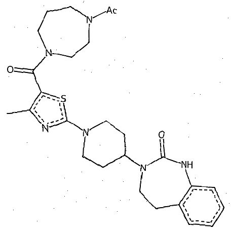 CC(=O)N1CCCN(C(=O)c2sc(N3CCC(N4CCc5ccccc5NC4=O)CC3)nc2C)CC1